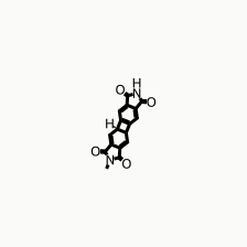 CN1C(=O)C2=CC3c4cc5c(cc4[C@@H]3C=C2C1=O)C(=O)NC5=O